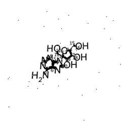 Nc1nnnc2c1ncn2[C@]1(CO)O[C@H](CO)[C@H](O)C1O